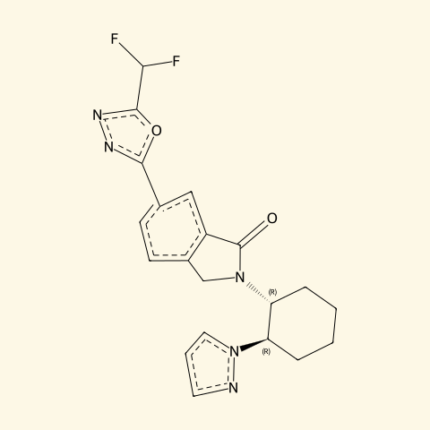 O=C1c2cc(-c3nnc(C(F)F)o3)ccc2CN1[C@@H]1CCCC[C@H]1n1cccn1